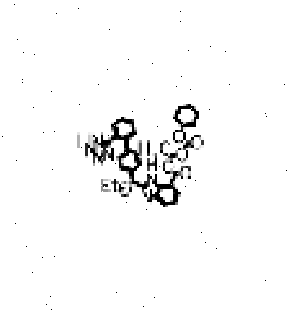 CCOC(c1ccc(-c2ccccc2-c2nnn[nH]2)cc1)c1nc2cccc(C(=O)OC(C)OC(=O)OC3CCCCC3)c2[nH]1